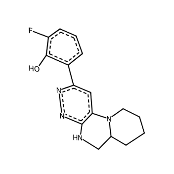 Oc1c(F)cccc1-c1cc2c(nn1)NCC1CCCCN21